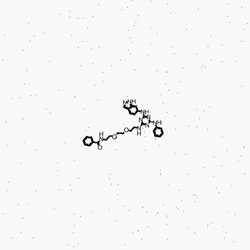 O=C(NCCOCCOCCNc1nc(Nc2ccccc2)nc(Nc2ccc3cn[nH]c3c2)n1)c1ccccc1